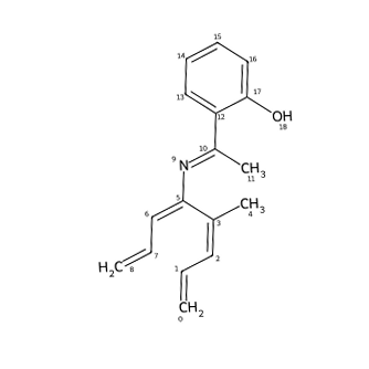 C=C\C=C(C)/C(=C\C=C)/N=C(\C)c1ccccc1O